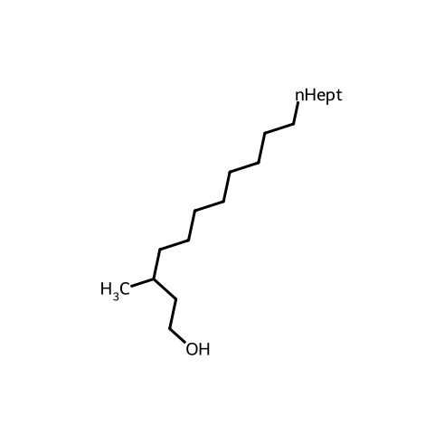 CCCCCCCCCCCCCCCC(C)CCO